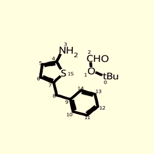 CC(C)(C)OC=O.Nc1ccc(Cc2ccccc2)s1